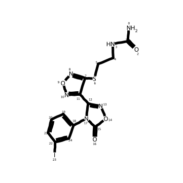 NC(=O)NCCSc1nonc1-c1noc(=O)n1-c1cccc(I)c1